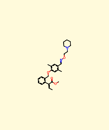 CC=C(C(=O)OC)c1ccccc1COc1cc(C)c(C=NOCCN2CCCCC2)cc1C